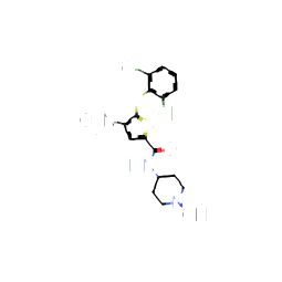 CN1CCC(NC(=O)c2cc([N+](=O)[O-])c(Sc3c(Cl)cccc3Cl)s2)CC1